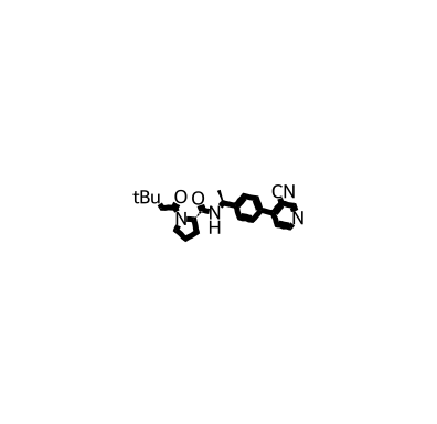 C[C@H](NC(=O)[C@@H]1CCCN1C(=O)CC(C)(C)C)c1ccc(-c2ccncc2C#N)cc1